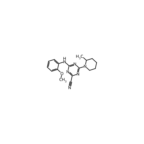 COc1ccccc1Nc1nc(C#N)nc(N2CCCCC2C)n1